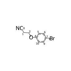 N#CCCOc1ccc(Br)cc1